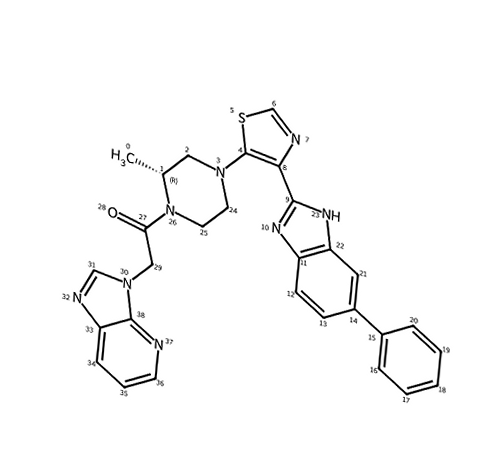 C[C@@H]1CN(c2scnc2-c2nc3ccc(-c4ccccc4)cc3[nH]2)CCN1C(=O)Cn1cnc2cccnc21